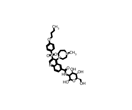 CCCCOc1ccc(S(=O)(=O)c2cnc3ccc(C(=O)NC4C(O)O[C@H](CO)[C@@H](O)[C@@H]4O)cc3c2N2CCCN(C)CC2)cc1